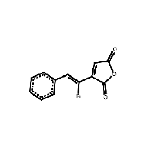 O=C1C=C(C(Br)=Cc2ccccc2)C(=O)O1